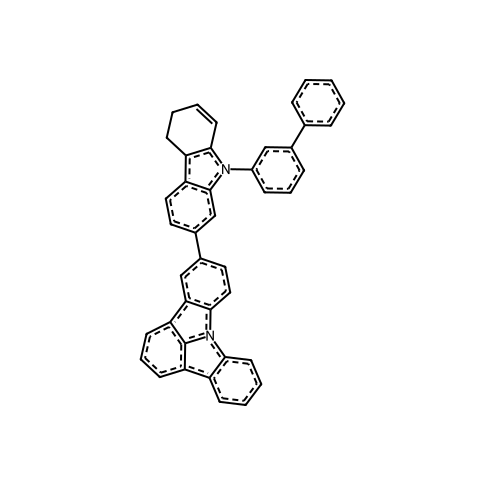 C1=Cc2c(c3ccc(-c4ccc5c(c4)c4cccc6c7ccccc7n5c64)cc3n2-c2cccc(-c3ccccc3)c2)CC1